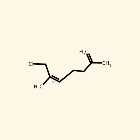 C=C(C)CC/C=C(/C)CCl